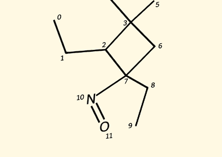 CCC1C(C)(C)CC1(CC)N=O